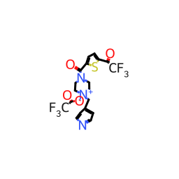 O=C(c1ccc(C(=O)C(F)(F)F)s1)N1CC[N+](Cc2ccncc2)(OC(=O)C(F)(F)F)CC1